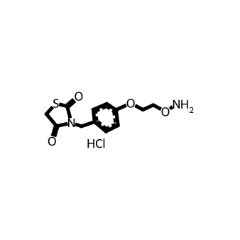 Cl.NOCCOc1ccc(CN2C(=O)CSC2=O)cc1